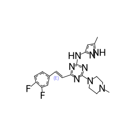 Cc1cc(Nc2nc(/C=C/c3ccc(F)c(F)c3)nc(N3CCN(C)CC3)n2)n[nH]1